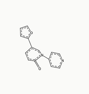 O=c1ccc(-c2ccco2)cn1-c1ccncc1